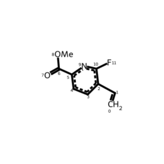 C=Cc1ccc(C(=O)OC)nc1F